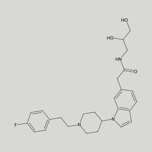 O=C(Cc1ccc2ccn(C3CCN(CCc4ccc(F)cc4)CC3)c2c1)NCC(O)CO